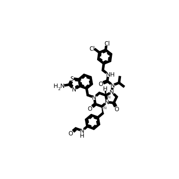 CC(C)N(C(=O)NCc1ccc(Cl)c(Cl)c1)N1CC(=O)N2[C@@H](Cc3ccc(NC=O)cc3)C(=O)N(Cc3cccc4sc(N)nc34)C[C@@H]21